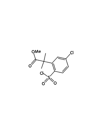 COC(=O)C(C)(C)c1cc(Cl)ccc1S(=O)(=O)Cl